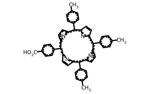 Cc1ccc(-c2c3nc(c(-c4ccc(C)cc4)c4ccc([nH]4)c(-c4ccc(C(=O)O)cc4)c4nc(c(-c5ccc(C)cc5)c5ccc2[nH]5)C=C4)C=C3)cc1